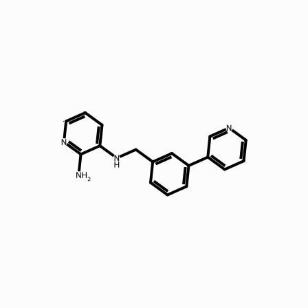 Nc1n[c]ccc1NCc1cccc(-c2cccnc2)c1